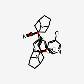 N#CC1(c2cncc(Cl)c2)CC2CCC(C1)N2C(=O)CCC(=O)N1C2CCC1CC(C#N)(c1cncc(Cl)c1)C2